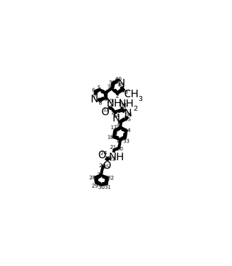 Cc1cc(-c2ccncc2NC(=O)c2nc(-c3ccc(CCNC(=O)OCc4ccccc4)cc3)cnc2N)ccn1